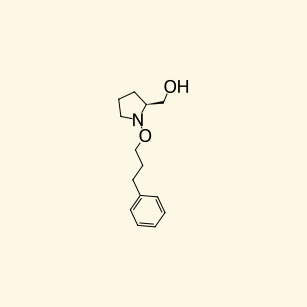 OC[C@@H]1CCCN1OCCCc1ccccc1